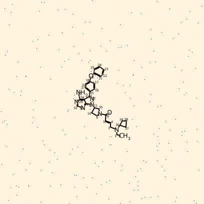 CCN(C/C=C/C(=O)N1CC[C@@H](n2nc(-c3ccc(Oc4ccccc4)cc3)c3c(N)ncnc32)C1)C1CCC1